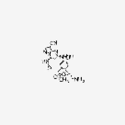 CS(=O)(=O)Cc1cc(Nc2cc(NC3CC3)n3ncc(C#N)c3n2)ccc1OCCN.Cl